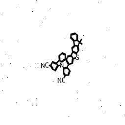 CC1(C)c2ccccc2-c2cc3c(cc21)sc1cc(-c2ccc(C#N)cc2-n2c4ccccc4c4cc(C#N)ccc42)ccc13